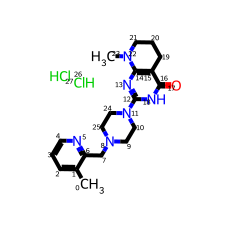 Cc1cccnc1CN1CCN(c2nc3c(c(=O)[nH]2)CCCN3C)CC1.Cl.Cl